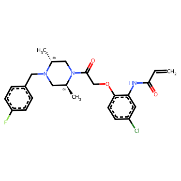 C=CC(=O)Nc1cc(Cl)ccc1OCC(=O)N1C[C@@H](C)N(Cc2ccc(F)cc2)C[C@@H]1C